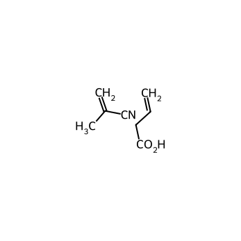 C=C(C)C#N.C=CCC(=O)O